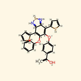 C=C(O)c1ccc(Oc2c(Oc3ccccc3)c(-c3cccs3)c3nsnc3c2-c2cccs2)cc1